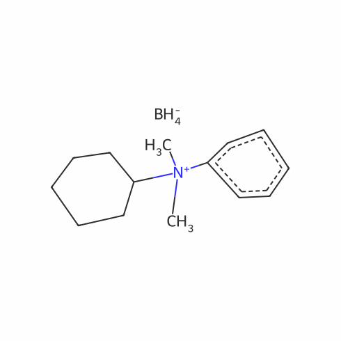 C[N+](C)(c1ccccc1)C1CCCCC1.[BH4-]